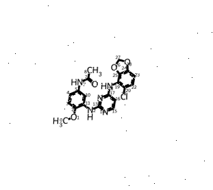 COc1ccc(NC(C)=O)cc1Nc1nccc(Nc2c(Cl)ccc3c2OCO3)n1